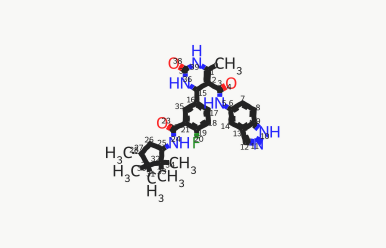 CC1=C(C(=O)Nc2ccc3[nH]ncc3c2)C(c2ccc(F)c(C(=O)NC3C[C@@H](C)C(C)(C)C3(C)C)c2)NC(=O)N1